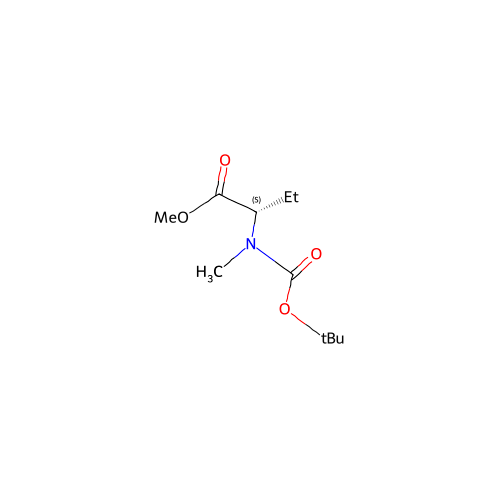 CC[C@@H](C(=O)OC)N(C)C(=O)OC(C)(C)C